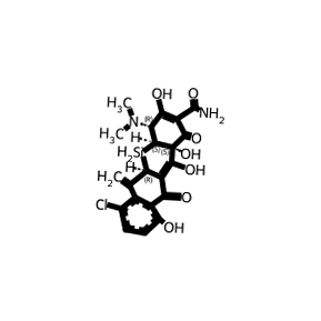 C=C1c2c(Cl)ccc(O)c2C(=O)C2=C(O)[C@]3(O)C(=O)C(C(N)=O)=C(O)[C@@H](N(C)C)[C@@H]3[SiH2][C@H]12